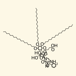 CCCCCCCCCCCCCCCCCCOc1cc(C(OC(=O)CCC(=O)O)[C@@]2(O)[C@@H](CO)O[C@@H](N3C=CC(N)(C(=O)c4ccccc4)NC3=O)[C@@H]2OC)cc(OCCCCCCCCCCCCCCCCCC)c1OCCCCCCCCCCCCCCCCCC